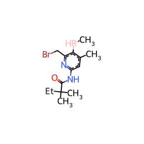 CBc1c(C)cc(NC(=O)C(C)(C)CC)nc1CBr